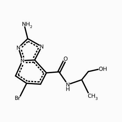 CC(CO)NC(=O)c1cc(Br)cn2nc(N)nc12